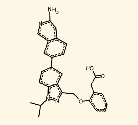 CC(C)n1nc(COc2ccccc2CC(=O)O)c2cc(-c3ccc4cc(N)ncc4c3)ccc21